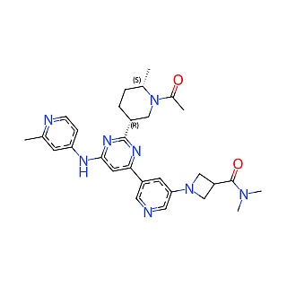 CC(=O)N1C[C@H](c2nc(Nc3ccnc(C)c3)cc(-c3cncc(N4CC(C(=O)N(C)C)C4)c3)n2)CC[C@@H]1C